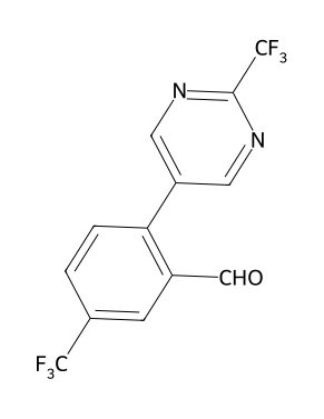 O=Cc1cc(C(F)(F)F)ccc1-c1cnc(C(F)(F)F)nc1